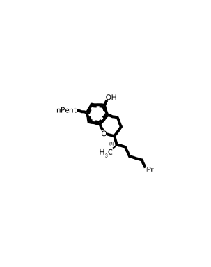 CCCCCc1cc(O)c2c(c1)OC([C@H](C)CCCC(C)C)CC2